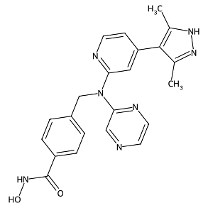 Cc1n[nH]c(C)c1-c1ccnc(N(Cc2ccc(C(=O)NO)cc2)c2cnccn2)c1